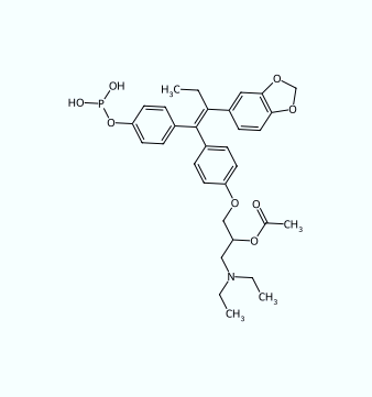 CC/C(=C(/c1ccc(OCC(CN(CC)CC)OC(C)=O)cc1)c1ccc(OP(O)O)cc1)c1ccc2c(c1)OCO2